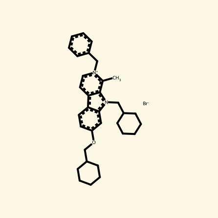 Cc1c2c(cc[n+]1Cc1ccccc1)c1ccc(OCC3CCCCC3)cc1n2CC1CCCCC1.[Br-]